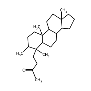 CC(=O)CCC1(C)C(C)CCC2(C)C3CCC4(C)CCCC4C3CCC12